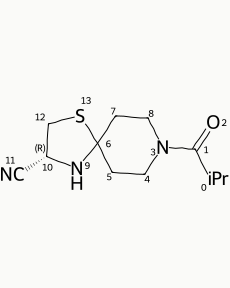 CC(C)C(=O)N1CCC2(CC1)N[C@H](C#N)CS2